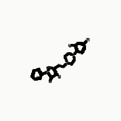 O=c1c(Cl)c(CCN2CCN(c3ccc(Cl)cc3Cl)CC2)[nH]n1-c1ccccc1